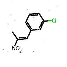 CC(=Cc1cccc(Cl)c1)[N+](=O)[O-]